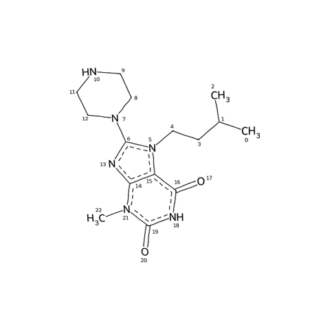 CC(C)CCn1c(N2CCNCC2)nc2c1c(=O)[nH]c(=O)n2C